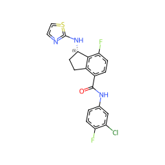 O=C(Nc1ccc(F)c(Cl)c1)c1ccc(F)c2c1CC[C@@H]2Nc1nccs1